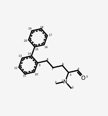 CN(C)C(C=O)CCCc1ccccc1-c1ccccc1